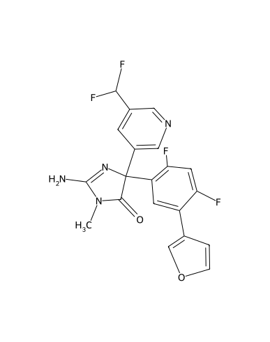 CN1C(=O)C(c2cncc(C(F)F)c2)(c2cc(-c3ccoc3)c(F)cc2F)N=C1N